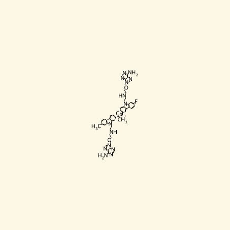 Cc1ccc2c3ccc(C(C)(C)Cc4ccc5c(c4)c4ccc(F)cc4n5CCNCCOCn4cnc5c(N)ncnc54)cc3n(CCNCCOCn3cnc4c(N)ncnc43)c2c1